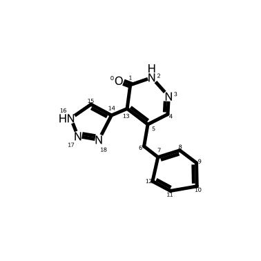 O=c1[nH]ncc(Cc2ccccc2)c1-c1c[nH]nn1